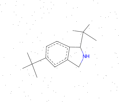 CC(C)(C)c1ccc2c(c1)CNC2C(C)(C)C